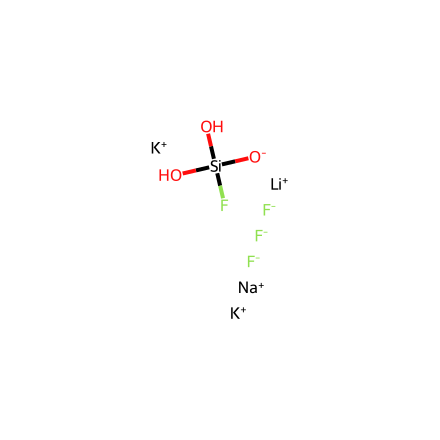 [F-].[F-].[F-].[K+].[K+].[Li+].[Na+].[O-][Si](O)(O)F